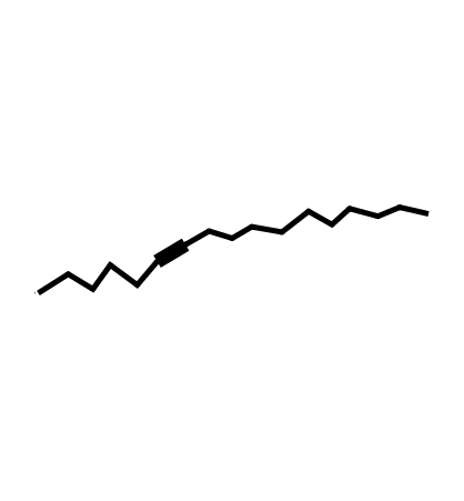 [CH2]CCCCC#CCCCCCCCCCC